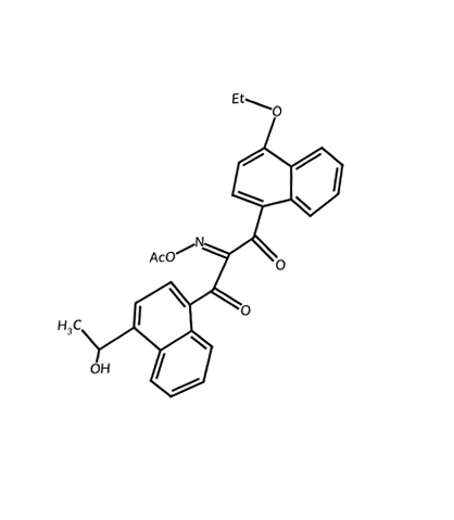 CCOc1ccc(C(=O)C(=NOC(C)=O)C(=O)c2ccc(C(C)O)c3ccccc23)c2ccccc12